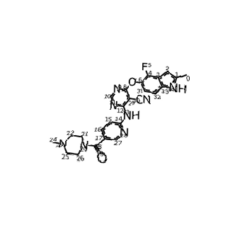 Cc1cc2c(F)c(Oc3ncnc(Nc4ccc(C(=O)N5CCN(C)CC5)cn4)c3C#N)ccc2[nH]1